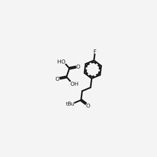 CC(C)(C)C(=O)CCc1ccc(F)cc1.O=C(O)C(=O)O